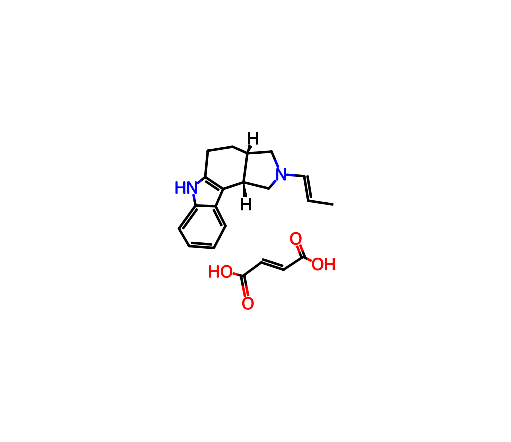 CC=CN1C[C@H]2CCc3[nH]c4ccccc4c3[C@H]2C1.O=C(O)/C=C/C(=O)O